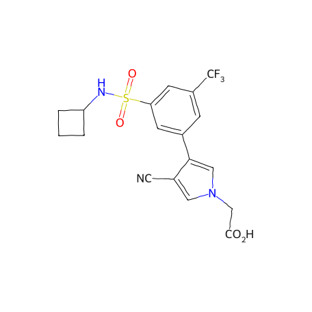 N#Cc1cn(CC(=O)O)cc1-c1cc(C(F)(F)F)cc(S(=O)(=O)NC2CCC2)c1